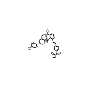 C=CC(=O)Nc1ccc(/C=C/c2cccc(C(=O)N3CCN4C[C@@H](c5ccc(Cl)cc5)CC[C@@H]4C3)c2Br)cc1